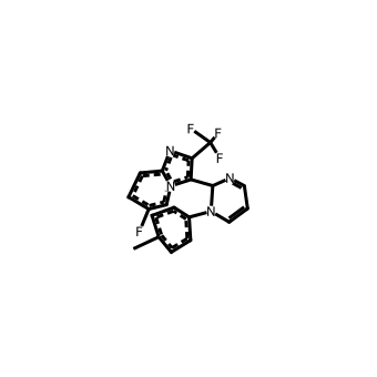 Cc1ccc(N2C=CC=NC2c2c(C(F)(F)F)nc3ccc(F)cn23)cc1